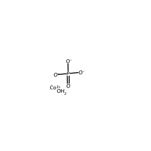 O.O=P([O-])([O-])[O-].[Co+3]